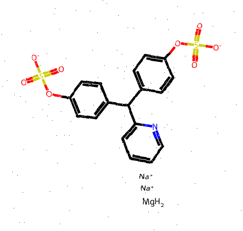 O=S(=O)([O-])Oc1ccc(C(c2ccc(OS(=O)(=O)[O-])cc2)c2ccccn2)cc1.[MgH2].[Na+].[Na+]